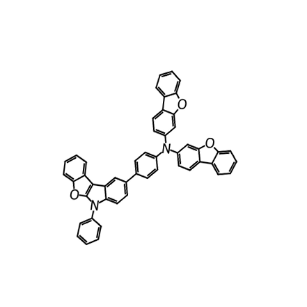 c1ccc(-n2c3ccc(-c4ccc(N(c5ccc6c(c5)oc5ccccc56)c5ccc6c(c5)oc5ccccc56)cc4)cc3c3c4ccccc4oc32)cc1